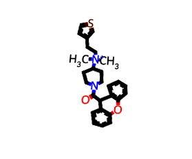 C[N+](C)(CCc1ccsc1)C1CCN(C(=O)C2c3ccccc3Oc3ccccc32)CC1